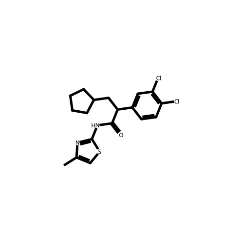 Cc1csc(NC(=O)C(CC2CCCC2)c2ccc(Cl)c(Cl)c2)n1